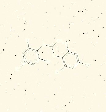 CC(Oc1c(Br)cc(Br)cc1Br)Oc1c(Br)cc(Br)cc1Br